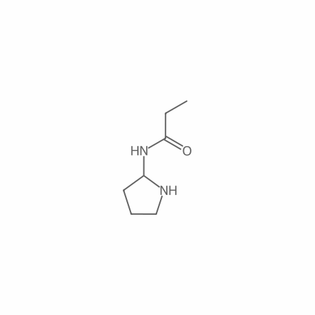 CCC(=O)NC1CCCN1